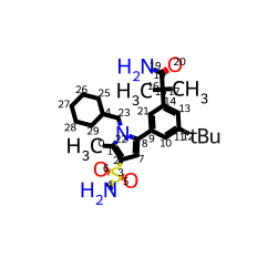 Cc1c(S(N)(=O)=O)cc(-c2cc(C(C)(C)C)cc(C(C)(C)C(N)=O)c2)n1CC1CCCCC1